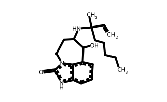 C=CC(C)(CCCCC)NC1CCn2c(=O)[nH]c3cccc(c32)C1O